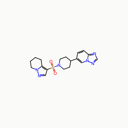 O=S(=O)(c1cnn2c1CCCC2)N1CCC(c2ccc3ncnn3c2)CC1